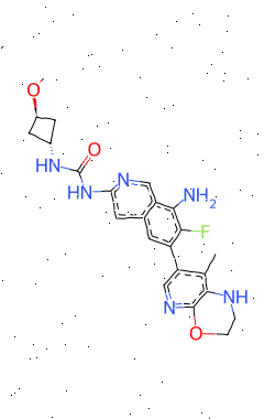 CO[C@H]1C[C@H](NC(=O)Nc2cc3cc(-c4cnc5c(c4C)NCCO5)c(F)c(N)c3cn2)C1